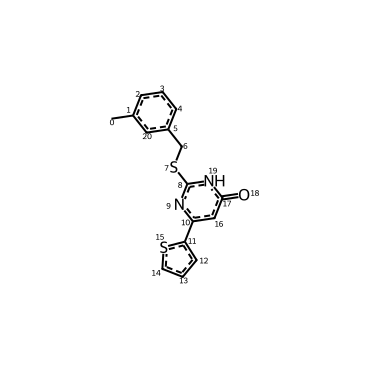 Cc1cccc(CSc2nc(-c3cccs3)cc(=O)[nH]2)c1